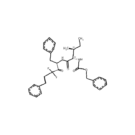 CC[C@H](C)[C@H](NC(=O)OCc1ccccc1)C(=O)NC(Cc1ccccc1)C(=O)C(F)(F)CCc1ccccc1